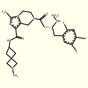 CN1CC2(CC(NC(=O)c3nc(C(F)(F)F)n4c3CN(C(=O)C[C@@H](Cc3cc(F)c(F)cc3F)NC(=O)O)CC4)C2)C1